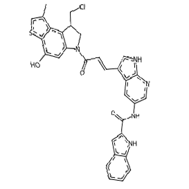 Cc1csc2c(O)cc3c(c12)C(CCl)CN3C(=O)/C=C/c1c[nH]c2ncc(NC(=O)c3cc4ccccc4[nH]3)cc12